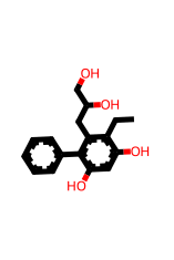 CCc1c(O)cc(O)c(-c2ccccc2)c1CC(O)CO